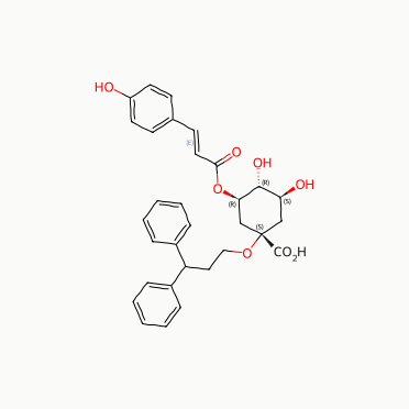 O=C(/C=C/c1ccc(O)cc1)O[C@@H]1C[C@](OCCC(c2ccccc2)c2ccccc2)(C(=O)O)C[C@H](O)[C@H]1O